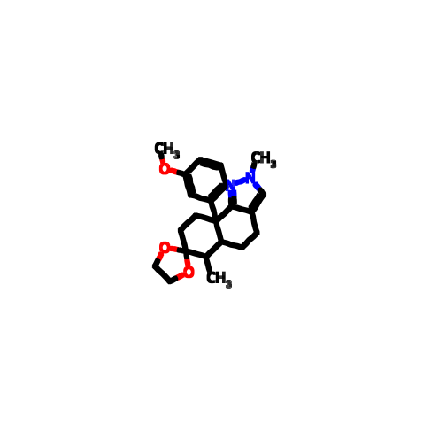 COc1cccc(C23CCC4(OCCO4)C(C)C2CCc2cn(C)nc23)c1